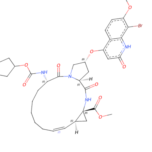 COC(=O)[C@@]12C[C@H]1/C=C\CCCCC[C@H](NC(=O)OC1CCCC1)C(=O)N1C[C@H](Oc3cc(=O)[nH]c4c(Br)c(OC)ccc34)C[C@H]1C(=O)N2